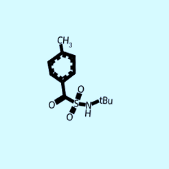 Cc1ccc(C(=O)S(=O)(=O)NC(C)(C)C)cc1